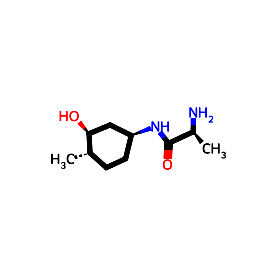 C[C@H](N)C(=O)N[C@H]1CC[C@H](C)[C@@H](O)C1